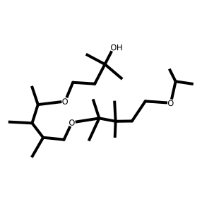 CC(C)OCCC(C)(C)C(C)(C)OCC(C)C(C)C(C)OCCC(C)(C)O